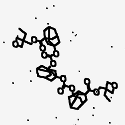 CCC1(COC(=O)C23CC4CC(CC(OC(=O)OC56CC7CC(C5)CC(OC(=O)OC58CC9CC(C5)CC(C(=O)OCC5(CC)COC5)(C9)C8)(C7)C6)(C4)C2)C3)COC1